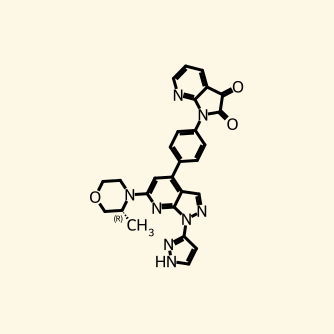 C[C@@H]1COCCN1c1cc(-c2ccc(N3C(=O)C(=O)c4cccnc43)cc2)c2cnn(-c3cc[nH]n3)c2n1